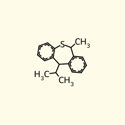 CC1Sc2ccccc2C(C(C)C)c2ccccc21